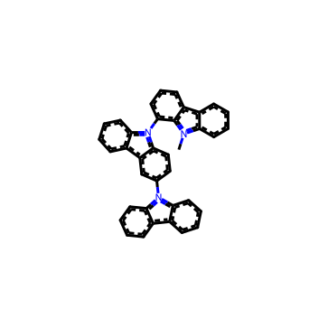 Cn1c2ccccc2c2cccc(-n3c4ccccc4c4cc(-n5c6ccccc6c6ccccc65)ccc43)c21